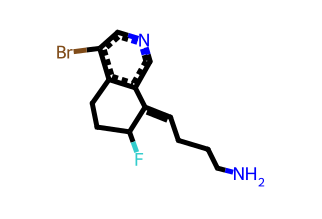 NCCC/C=C1/c2cncc(Br)c2CCC1F